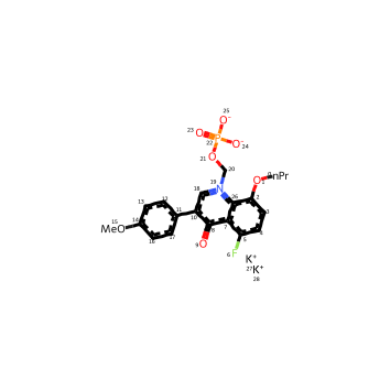 CCCOc1ccc(F)c2c(=O)c(-c3ccc(OC)cc3)cn(COP(=O)([O-])[O-])c12.[K+].[K+]